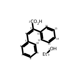 CCO.O=C(O)C(=Cc1ccccc1)c1ccccc1